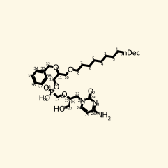 CCCCCCCCCCCCCCCCCCOCC(COP(=O)(O)CO[C@H](CO)Cn1ccc(N)nc1=O)OCc1ccccc1